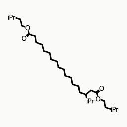 CC(C)CCOC(=O)CCCCCCCCCCCCCCC(CC(=O)OCCC(C)C)C(C)C